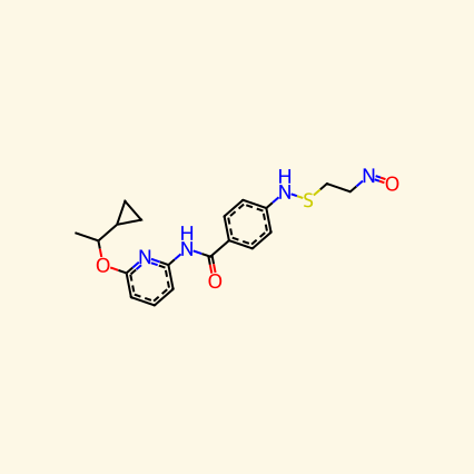 CC(Oc1cccc(NC(=O)c2ccc(NSCCN=O)cc2)n1)C1CC1